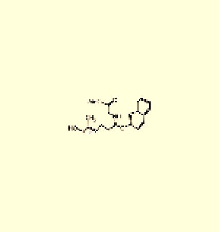 COC(=O)CNP(CC/C=C(\C)CO)Oc1ccc2ccccc2c1